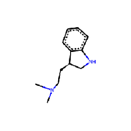 CN(C)CC[C@@H]1CNc2ccccc21